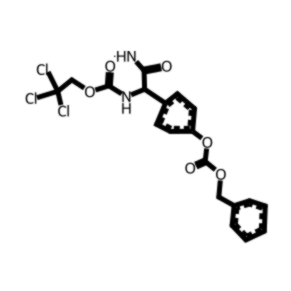 [NH]C(=O)C(NC(=O)OCC(Cl)(Cl)Cl)c1ccc(OC(=O)OCc2ccccc2)cc1